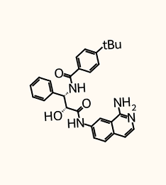 CC(C)(C)c1ccc(C(=O)N[C@@H](c2ccccc2)[C@@H](O)C(=O)Nc2ccc3ccnc(N)c3c2)cc1